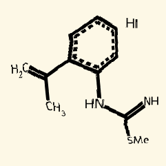 C=C(C)c1ccccc1NC(=N)SC.I